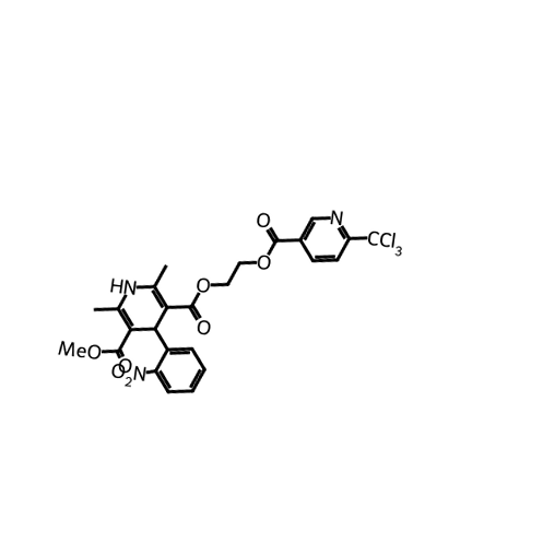 COC(=O)C1=C(C)NC(C)=C(C(=O)OCCOC(=O)c2ccc(C(Cl)(Cl)Cl)nc2)C1c1ccccc1[N+](=O)[O-]